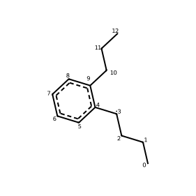 CCC[CH]c1ccccc1CCC